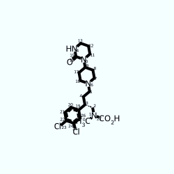 CN(C[C@@H](CCN1CCC(N2CCCNC2=O)CC1)c1ccc(Cl)c(Cl)c1)C(=O)O